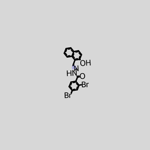 O=C(N/N=C/c1c(O)ccc2ccccc12)c1ccc(Br)cc1Br